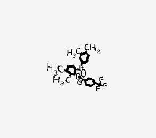 Cc1ccc([I+](OS(=O)(=O)c2ccc(C(F)(F)F)cc2)c2ccc(C)c(C)c2)cc1C